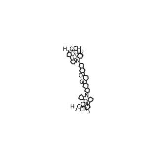 CC(C)(C)c1cccc2c1oc1c(N(c3ccccc3)c3ccc4cc5c(cc4c3)oc3c5ccc4c5cc6ccc(N(c7ccccc7)c7cccc8c7oc7c(C(C)(C)C)cccc78)cc6cc5oc43)cccc12